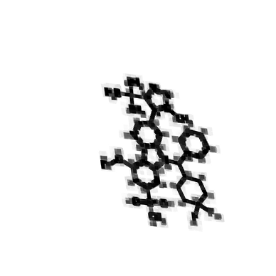 BC(B)(B)c1nnn(C)c1-c1cnc2c3c(OCC)cc(S(C)(=O)=O)cc3n(C(c3ccccc3)C3CCC(F)(F)CC3)c2c1